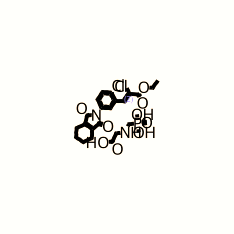 CCOC(=O)/C(Cl)=C/c1cc(N2C(=O)C3=C(CCCC3)C2=O)ccc1Cl.O=C(O)CNCP(=O)(O)O